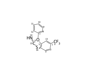 FC(F)(F)c1cccc(Oc2ccccc2)c1.N=C=S